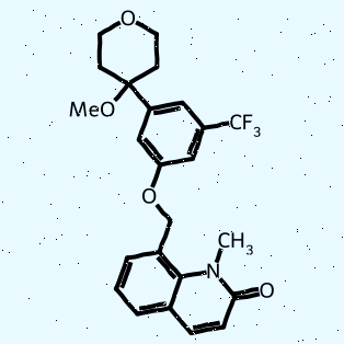 COC1(c2cc(OCc3cccc4ccc(=O)n(C)c34)cc(C(F)(F)F)c2)CCOCC1